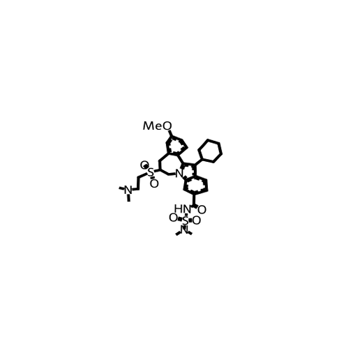 COc1ccc2c(c1)CC(S(=O)(=O)CCN(C)C)Cn1c-2c(C2CCCCC2)c2ccc(C(=O)NS(=O)(=O)N(C)C)cc21